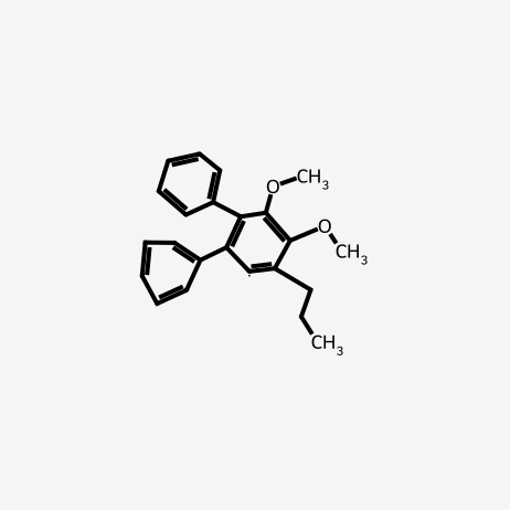 CCCc1[c]c(-c2ccccc2)c(-c2ccccc2)c(OC)c1OC